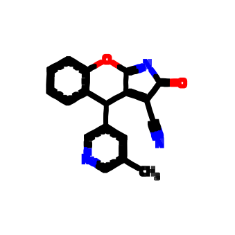 Cc1cncc(C2C3=C(C#N)C(=O)N=C3Oc3ccccc32)c1